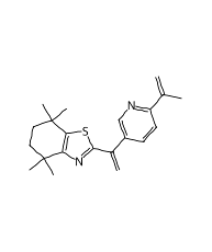 C=C(C)c1ccc(C(=C)c2nc3c(s2)C(C)(C)CCC3(C)C)cn1